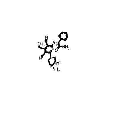 CCc1c(C#N)c(S[C@@H](C(N)=O)c2ccccc2)nc(N2CC[C@@H](N)[C@H](F)C2)c1C#N